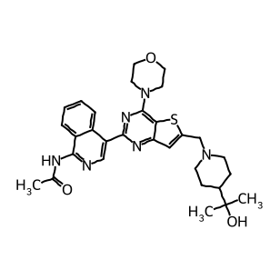 CC(=O)Nc1ncc(-c2nc(N3CCOCC3)c3sc(CN4CCC(C(C)(C)O)CC4)cc3n2)c2ccccc12